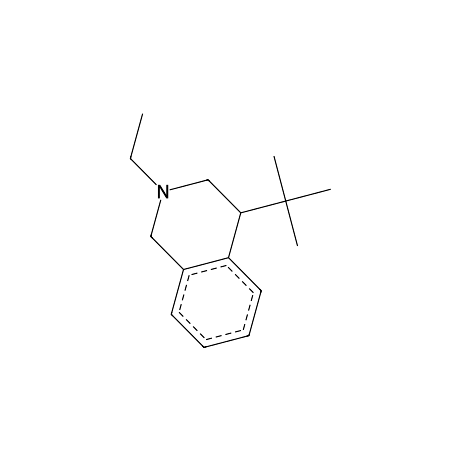 CCN1Cc2ccccc2C(C(C)(C)C)C1